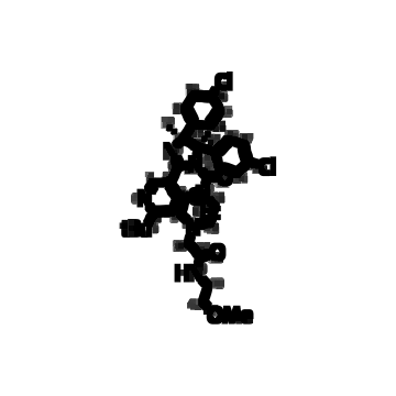 CCOc1cc(C(C)(C)C)ncc1C1=N[C@@](C)(c2ccc(Cl)cc2)[C@@](C)(c2ccc(Cl)cc2)N1C(=O)N1CCN(CC(=O)NCCOC)CC1